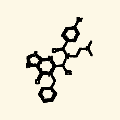 CCC(c1nc2scnc2c(=O)n1Cc1ccccc1)N(CCN(C)C)C(=O)c1ccc(Br)cc1